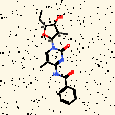 CC[C@H]1O[C@@H](n2cc(C)c(NC(=O)c3ccccc3)nc2=O)[C@@H](C)C1O